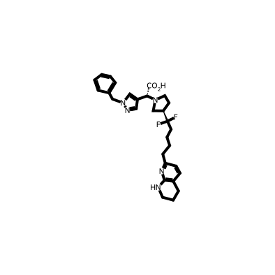 O=C(O)[C@@H](c1cnn(Cc2ccccc2)c1)N1CC[C@@H](C(F)(F)CCCCc2ccc3c(n2)NCCC3)C1